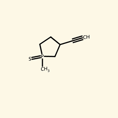 C#CC1CCP(C)(=S)C1